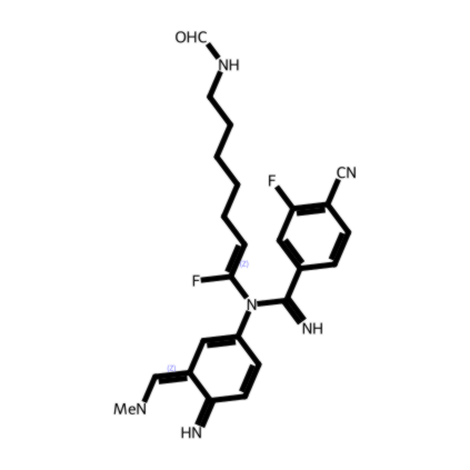 CN/C=C1/C=C(N(C(=N)c2ccc(C#N)c(F)c2)/C(F)=C/CCCCCNC=O)C=CC1=N